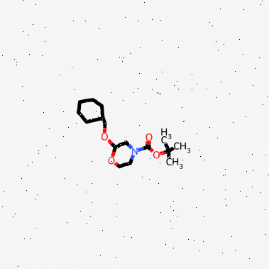 CC(C)(C)OC(=O)N1CCOC(OCC2CCCCC2)C1